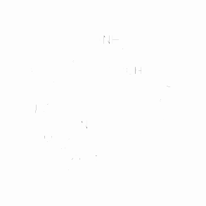 Cc1c(Cl)cc(C(C)N)c(-c2cccc(F)c2)c1N1CCOC1=O